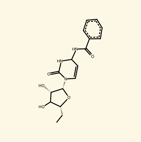 CC[C@H]1O[C@@H](N2C=CC(NC(=O)c3ccccc3)NC2=O)[C@@H](O)C1O